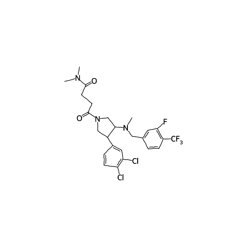 CN(C)C(=O)CCC(=O)N1CC(c2ccc(Cl)c(Cl)c2)C(N(C)Cc2ccc(C(F)(F)F)c(F)c2)C1